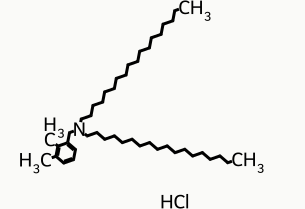 CCCCCCCCCCCCCCCCCCN(CCCCCCCCCCCCCCCCCC)Cc1cccc(C)c1C.Cl